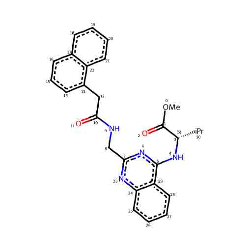 COC(=O)[C@@H](Nc1nc(CNC(=O)Cc2cccc3ccccc23)nc2ccccc12)C(C)C